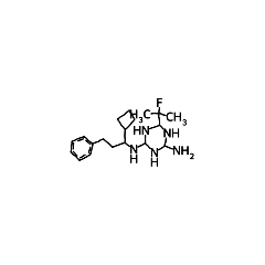 CC(C)(F)C1NC(N)NC(NC(CCc2ccccc2)C2CCC2)N1